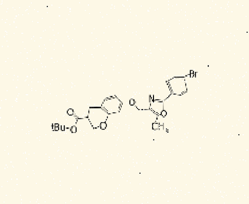 Cc1oc(-c2ccc(Br)cc2)nc1COc1ccc2c(c1)OCC(C(=O)OC(C)(C)C)C2